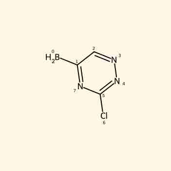 Bc1cnnc(Cl)n1